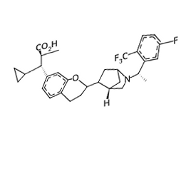 C[C@H](C(=O)O)[C@H](c1ccc2c(c1)OC(C1CC3C[C@@H]1CN3[C@@H](C)c1cc(F)ccc1C(F)(F)F)CC2)C1CC1